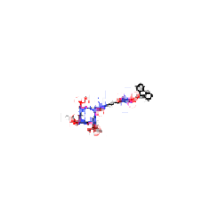 CC(C)(C)OC(=O)CN1CCN(CC(=O)NCCCCCC(=O)NNC(=O)OCC2c3ccccc3-c3ccccc32)CCN(CC(=O)OC(C)(C)C)CCN(CC(=O)OC(C)(C)C)CC1